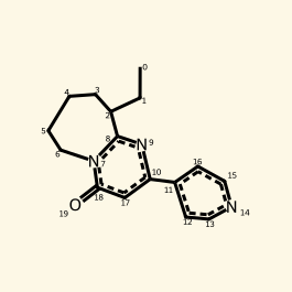 CCC1CCCCn2c1nc(-c1ccncc1)cc2=O